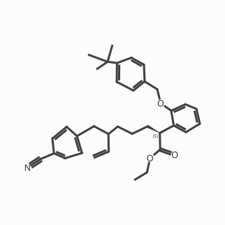 C=CC(CCC[C@H](C(=O)OCC)c1ccccc1OCc1ccc(C(C)(C)C)cc1)Cc1ccc(C#N)cc1